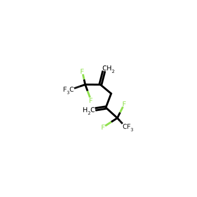 C=C(CC(=C)C(F)(F)C(F)(F)F)C(F)(F)C(F)(F)F